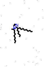 CCCCCCCCCC(CCCCC)c1nccn1C(C)CCCCCCCC